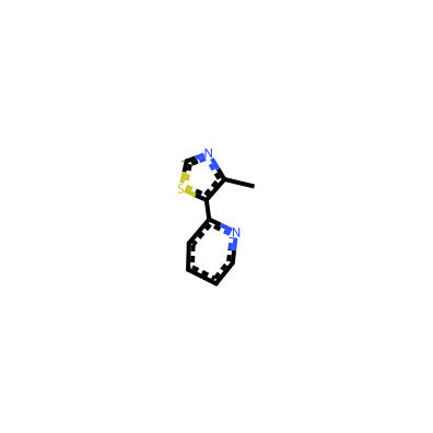 Cc1n[c]sc1-c1ccccn1